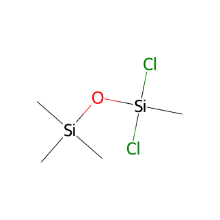 C[Si](C)(C)O[Si](C)(Cl)Cl